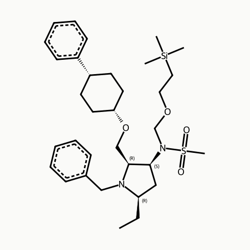 CC[C@@H]1C[C@H](N(COCC[Si](C)(C)C)S(C)(=O)=O)[C@H](CO[C@H]2CC[C@@H](c3ccccc3)CC2)N1Cc1ccccc1